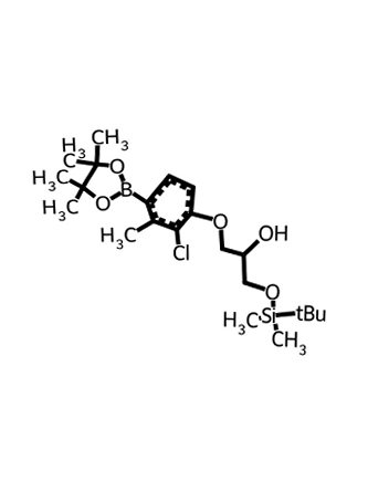 Cc1c(B2OC(C)(C)C(C)(C)O2)ccc(OCC(O)CO[Si](C)(C)C(C)(C)C)c1Cl